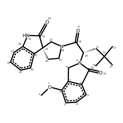 COc1cccc2c1CN([C@@H](CC(C)(C)C)C(=O)N1CC[C@@]3(C1)C(=O)Nc1ccccc13)C2=O